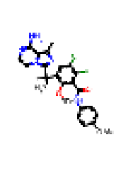 COc1ccc(NC(=O)c2c(F)c(Cl)cc([C@](C)([SiH3])c3nc(C)c4c(N)nccn34)c2OC(C)C)cc1